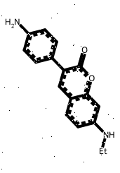 CCNc1ccc2cc(-c3ccc(N)cc3)c(=O)oc2c1